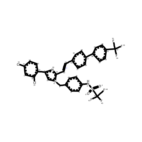 O=S(=O)(Nc1ccc(Cn2cc(-c3ccc(Cl)cc3Cl)nc2/C=C/c2ccc(-c3ccc(C(F)(F)F)cc3)cc2)cc1)C(F)(F)F